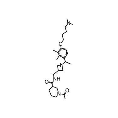 CC(=O)N1CCCC(C(=O)NCC2CN(C(C)c3ccc(OCCCCN(C)C)c(C)c3C)C2)C1